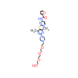 Cc1nc(N2CCN(CCOCCOCCOCCO)CC2)nc(C)c1Sc1nccc(NC(=O)c2ccco2)n1